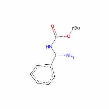 CCCCOC(=O)NC(N)c1ccccc1